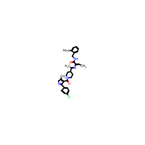 C/C=C(\N=C(/C)C1CCN(C(=O)C2=C(C)CN=C2c2ccc(Cl)cc2)CC1)C(=O)NCc1ccccc1SC